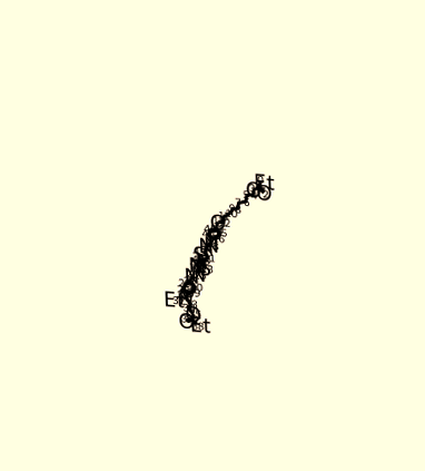 CCC(=O)OCCCCCCCCCOc1ccc(N=Nc2cc3sc(N=Nc4ccc(N(CC)CCOC(=O)CC)cc4)nc3s2)cc1